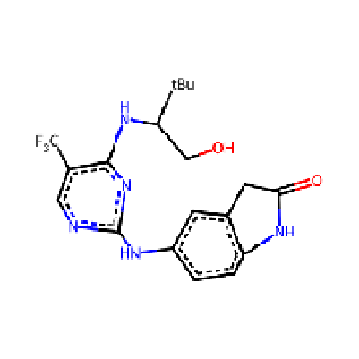 CC(C)(C)C(CO)Nc1nc(Nc2ccc3c(c2)CC(=O)N3)ncc1C(F)(F)F